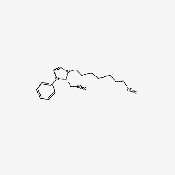 CCCCCCCCCCCCCCCCCN1C=CN(c2ccccc2)C1CCCCCCCCCCC